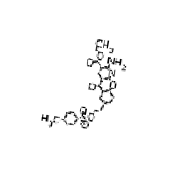 CCOC(=O)c1cc2c(=O)c3cc(CCOS(=O)(=O)c4ccc(C)cc4)ccc3oc2nc1N